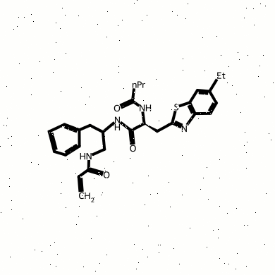 C=CC(=O)NCC(Cc1ccccc1)NC(=O)[C@H](Cc1nc2ccc(CC)cc2s1)NC(=O)CCC